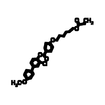 C=CC(=O)OCCCCCCOc1ccc(C(=O)Oc2ccc(-c3ccc(OC)cc3)cc2Cl)cc1